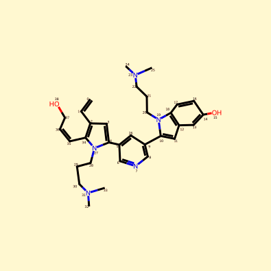 C=Cc1cc(-c2cncc(-c3cc4cc(O)ccc4n3CCCN(C)C)c2)n(CCCN(C)C)c1/C=C\CO